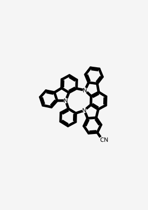 N#Cc1ccc2c(c1)c1ccc3c4ccccc4n4c5cccc6c7ccccc7n(c7ccccc7n2c1c34)c65